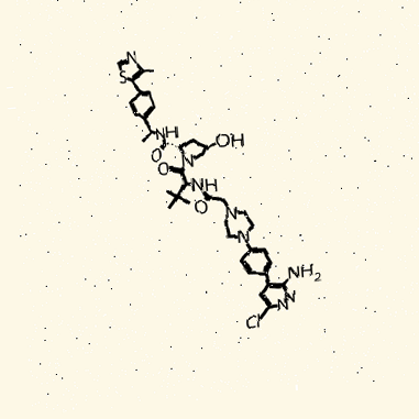 Cc1ncsc1-c1ccc(C(C)NC(=O)[C@@H]2C[C@@H](O)CN2C(=O)C(NC(=O)CN2CCN(c3ccc(-c4cc(Cl)nnc4N)cc3)CC2)C(C)(C)C)cc1